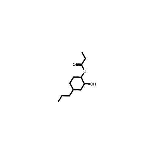 CCCC1CCC(OC(=O)CC)C(O)C1